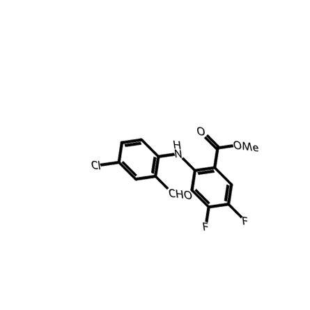 COC(=O)c1cc(F)c(F)cc1Nc1ccc(Cl)cc1C=O